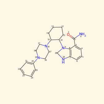 NC(=O)c1cccc2c1N(C1CCCCC1N1CCN(c3ccccc3)CC1)CN2